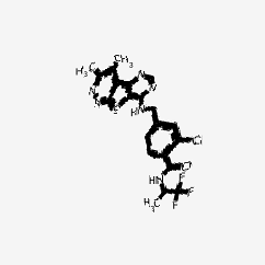 Cc1nnc2sc3c(NCc4ccc(C(=O)NC(C)C(F)(F)F)c(Cl)c4)ncnc3c2c1C